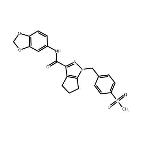 CS(=O)(=O)c1ccc(Cn2nc(C(=O)Nc3ccc4c(c3)OCO4)c3c2CCC3)cc1